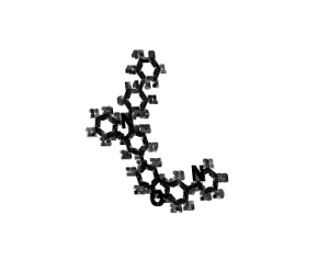 c1ccc(-c2ccc(-n3c4ccccc4c4cc(-c5ccc6oc7ccc(-c8ccccn8)cc7c6c5)ccc43)cc2)cc1